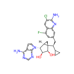 Nc1nc2cc(C[C@@H](C3CC3)[C@@]34C[C@@H]3[C@@H](n3ccc5c(N)ncnc53)[C@H](O)[C@@H]4O)cc(F)c2cc1Cl